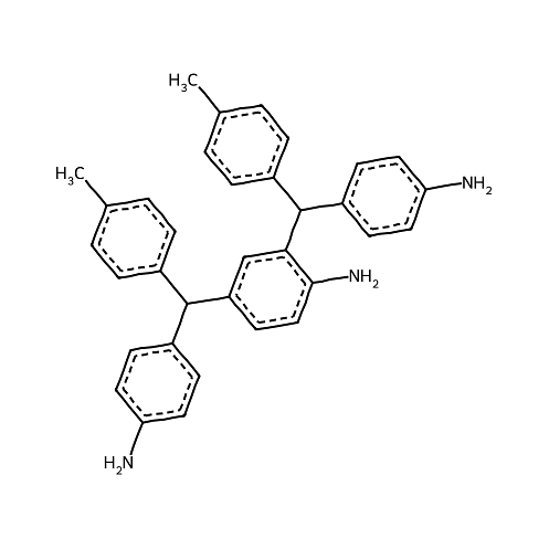 Cc1ccc(C(c2ccc(N)cc2)c2ccc(N)c(C(c3ccc(C)cc3)c3ccc(N)cc3)c2)cc1